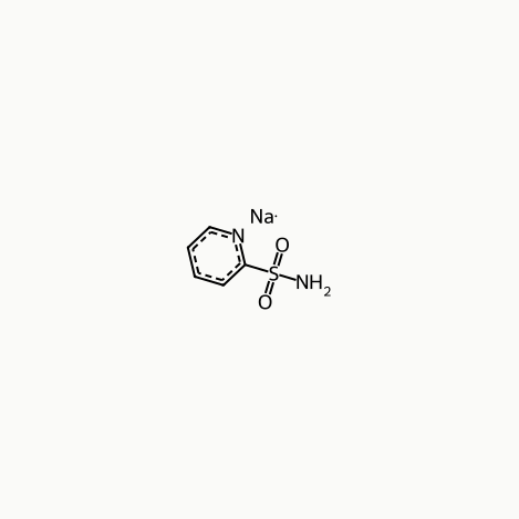 NS(=O)(=O)c1ccccn1.[Na]